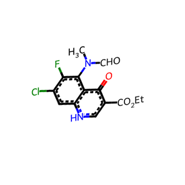 CCOC(=O)c1c[nH]c2cc(Cl)c(F)c(N(C)C=O)c2c1=O